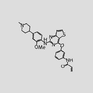 C=CC(=O)Nc1cccc(Oc2nc(Nc3ccc(C4CCN(C)CC4)cc3OC)nc3ccsc23)c1